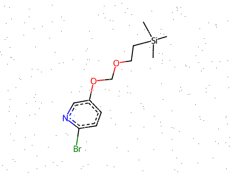 C[Si](C)(C)CCOCOc1ccc(Br)nc1